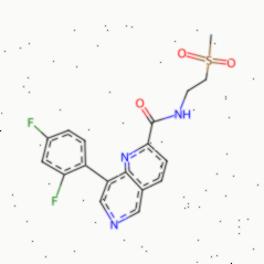 CS(=O)(=O)CCNC(=O)c1ccc2cncc(-c3ccc(F)cc3F)c2n1